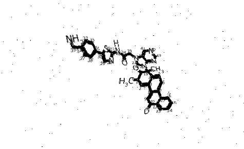 CC1C=c2c(ccc3c2=CC(=O)c2ccccc2-3)C(C)(N2CN(CC(=O)Nc3ncc(-c4ccc(CN)cc4)s3)c3cncnc32)C1=O